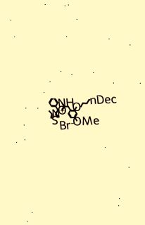 CCCCCCCCCCCCCCOc1cc(OC)ccc1CC(=O)Nc1ccccc1C[n+]1cscc1C.[Br-]